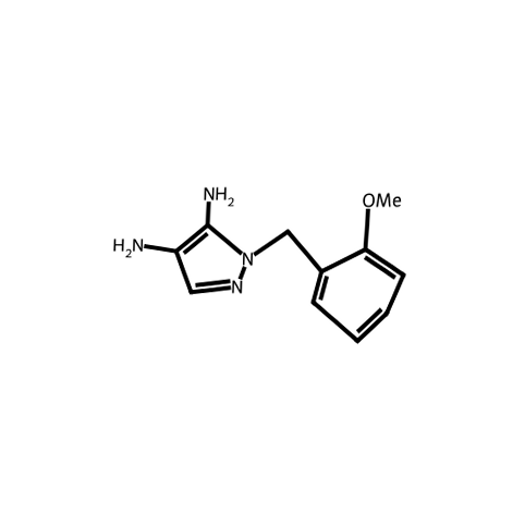 COc1ccccc1Cn1ncc(N)c1N